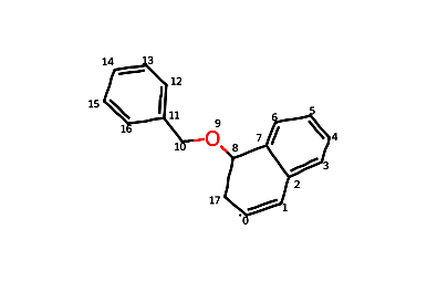 [C]1=Cc2ccccc2C(OCc2ccccc2)C1